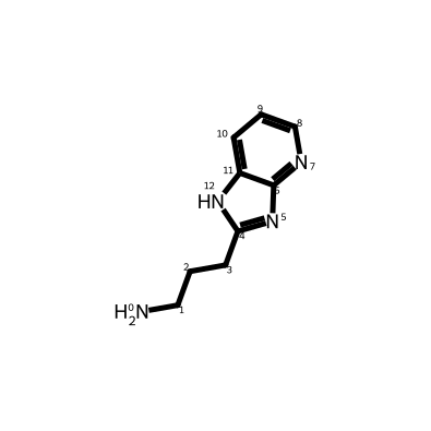 NCCCc1nc2ncccc2[nH]1